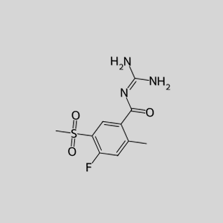 Cc1cc(F)c(S(C)(=O)=O)cc1C(=O)N=C(N)N